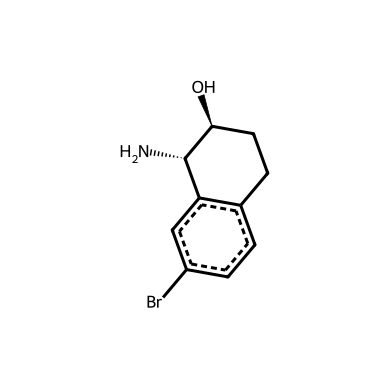 N[C@H]1c2cc(Br)ccc2CC[C@@H]1O